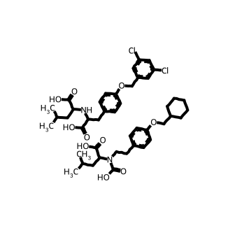 CC(C)CC(C(=O)O)N(CCc1ccc(OCC2CCCCC2)cc1)C(=O)O.CC(C)CC(NC(Cc1ccc(OCc2cc(Cl)cc(Cl)c2)cc1)C(=O)O)C(=O)O